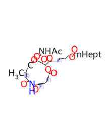 CCCCCCCC(=O)OCC/C=C/C1OC1C1OC(=O)/C=C\C=C\C(=O)NC(=O)/C=C(/C)CCC2OC2C1OC(=O)NC(C)=O